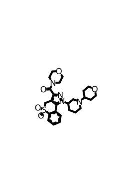 O=C(c1nn(C2CCCN(C3CCOCC3)C2)c2c1CS(=O)(=O)c1ccccc1-2)N1CCOCC1